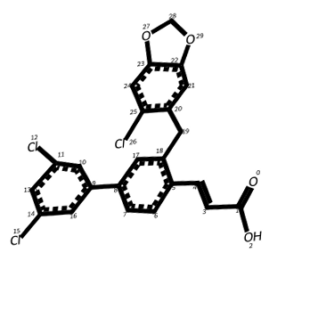 O=C(O)/C=C/c1ccc(-c2cc(Cl)cc(Cl)c2)cc1Cc1cc2c(cc1Cl)OCO2